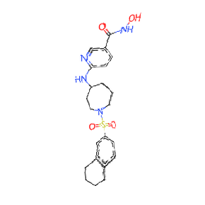 O=C(NO)c1ccc(NC2CCCN(S(=O)(=O)c3ccc4c(c3)CCCC4)CC2)nc1